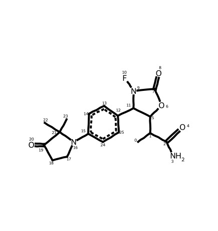 CC(C(N)=O)C1OC(=O)N(F)C1c1ccc(N2CCC(=O)C2(C)C)cc1